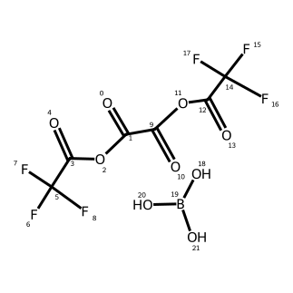 O=C(OC(=O)C(F)(F)F)C(=O)OC(=O)C(F)(F)F.OB(O)O